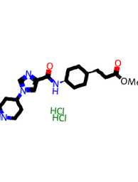 COC(=O)CC[C@H]1CC[C@H](NC(=O)c2cn(C3CCNCC3)cn2)CC1.Cl.Cl